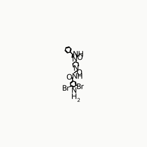 Nc1c(Br)cc(C(=O)NCC(=O)N2CCC(n3cc(-c4ccccc4)[nH]c3=O)CC2)cc1Br